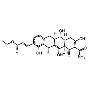 CCOC(=O)/C=C/c1ccc2c(c1O)C(=O)C1=C(O)[C@]3(O)C(=O)C(C(N)=O)=C(O)C[C@@H]3[C@@H](O)[C@@H]1[C@H]2C